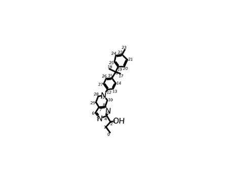 CCC(O)c1ncc2c(n1)CN(c1ccc(C(C)(C)c3ccc(C)cc3)cc1)CC2